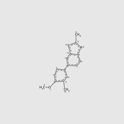 COc1ccc(-c2ccc3nc(C)sc3c2)cc1C